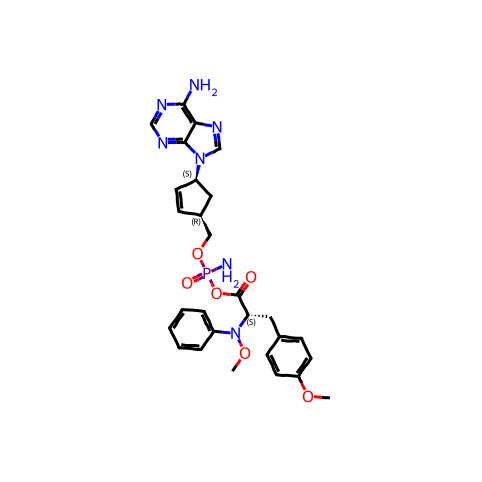 COc1ccc(C[C@@H](C(=O)OP(N)(=O)OC[C@H]2C=C[C@@H](n3cnc4c(N)ncnc43)C2)N(OC)c2ccccc2)cc1